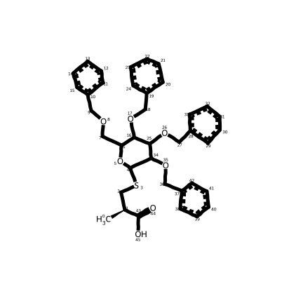 C[C@@H](CSC1OC(COCc2ccccc2)C(OCc2ccccc2)C(OCc2ccccc2)C1OCc1ccccc1)C(=O)O